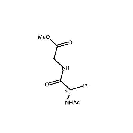 COC(=O)CNC(=O)[C@@H](NC(C)=O)C(C)C